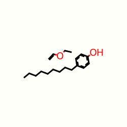 C=COCC.CCCCCCCCCc1ccc(O)cc1